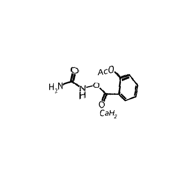 CC(=O)Oc1ccccc1C(=O)ONC(N)=O.[CaH2]